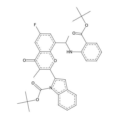 Cc1c(-c2cc3ccccc3n2C(=O)OC(C)(C)C)oc2c(C(C)Nc3ccccc3C(=O)OC(C)(C)C)cc(F)cc2c1=O